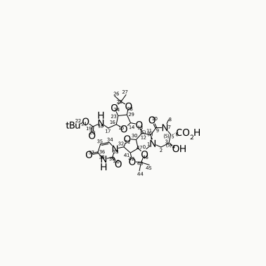 CN1C[C@H](O)[C@@H](C(=O)O)N(C)C(=O)[C@@H]1[C@H](OC1OC(CNC(=O)OC(C)(C)C)C2OC(C)(C)OC12)C1OC(n2ccc(=O)[nH]c2=O)C2OC(C)(C)OC21